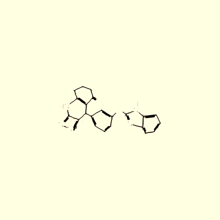 O=C1CCCC2=C1C(c1cccc(Oc3nc4ccccc4[nH]3)c1)c1c[nH]nc1N2